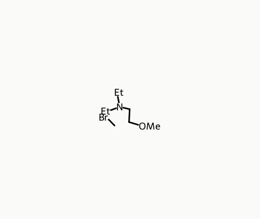 CBr.CCN(CC)CCOC